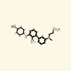 CN(CCC(=O)O)c1cccc(-c2cccc(O[C@H]3CC[C@H](C(C)(C)C)CC3)c2C(F)(F)F)c1